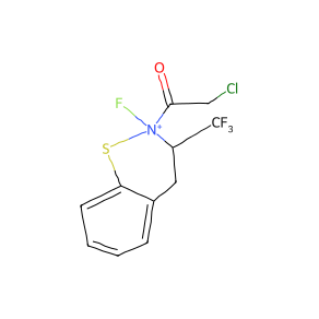 O=C(CCl)[N+]1(F)Sc2ccccc2CC1C(F)(F)F